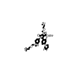 COc1nn(COCC[Si](C)(C)C)c2c1C(c1ccc(N3CCC(F)(F)C3)cc1F)N(c1ccc3c(c1)ncn3COCC[Si](C)(C)C)C2=O